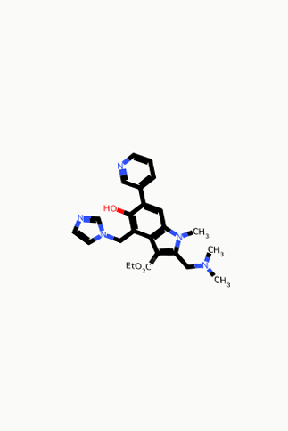 CCOC(=O)c1c(CN(C)C)n(C)c2cc(-c3cccnc3)c(O)c(Cn3ccnc3)c12